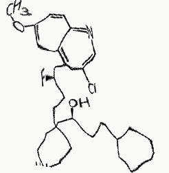 COc1ccc2ncc(Cl)c([C@H](F)CCC3([C@@H](O)CCC4CCCCC4)CCNCC3)c2c1